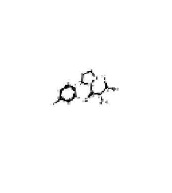 C[C@@H](C(=O)N1OCC[C@H]1c1ccc(F)cc1)C(F)F